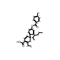 CCCCC(C)[C@@]1(c2ccc(OC(=O)c3ccc(C)cc3)cc2)C=CC(C(=O)O)=C(CC)C1